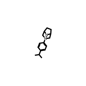 CC(C)c1ccc(N2CC3CCC(C2)N3C)cc1